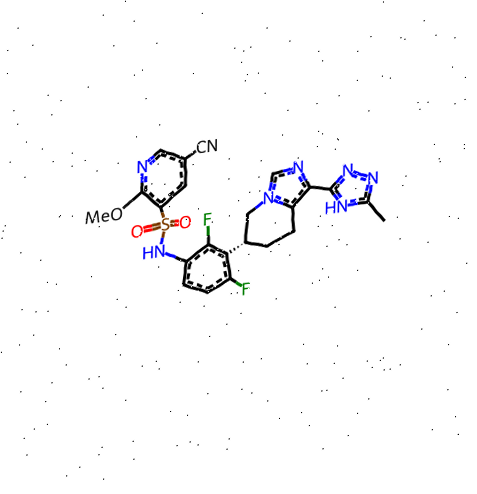 COc1ncc(C#N)cc1S(=O)(=O)Nc1ccc(F)c([C@H]2CCc3c(-c4nnc(C)[nH]4)ncn3C2)c1F